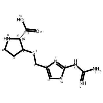 N=C(N)Nc1nc(CSC2CCN[C@@H]2C(=O)O)cs1